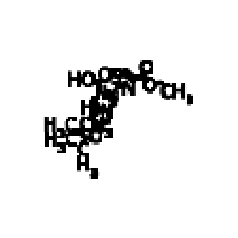 CCOC(=O)c1csc([C@@H]2CN3C[C@H](OC(C)C(C)(C)C)C[C@@H]3CN2C(=O)O)n1